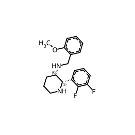 COc1ccccc1CN[C@H]1CCCN[C@H]1c1cccc(F)c1F